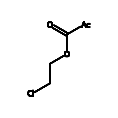 CC(=O)C(=O)OCCCl